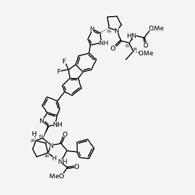 COC(=O)NC(C(=O)N1[C@@H]2CC[C@H](C2)[C@H]1c1nc2ccc(-c3ccc4c(c3)C(F)(F)c3cc(-c5cnc([C@@H]6CCCN6C(=O)[C@@H](NC(=O)OC)[C@@H](C)OC)[nH]5)ccc3-4)cc2[nH]1)c1ccccc1